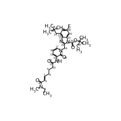 CCN(C)C(=O)/C=C/CCCC(=O)Nc1cccn(Cc2nc3c(CC(C)(C)C)cc(F)cc3n2C(=O)OC(C)(C)C)c1=O